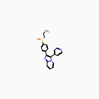 CCC[S+]([O-])c1ccc(-c2nc3ccccn3c2-c2ccncc2)cc1